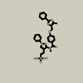 Cc1oc(-c2ccccc2)nc1COc1ccc(C(=O)N(C)c2nn(-c3ccccc3)cc2/C=C/P(=O)(O)O)cc1